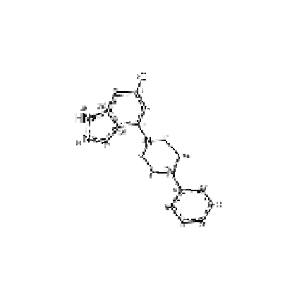 Clc1cc(N2CCN(c3ccccc3)CC2)c2cn[nH]c2c1